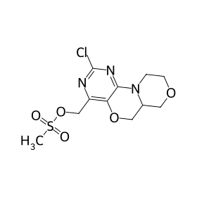 CS(=O)(=O)OCc1nc(Cl)nc2c1OCC1COCCN21